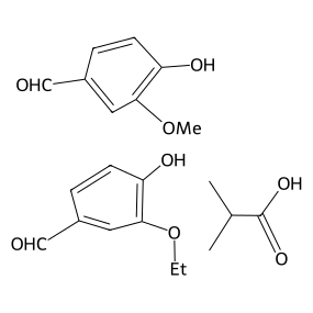 CC(C)C(=O)O.CCOc1cc(C=O)ccc1O.COc1cc(C=O)ccc1O